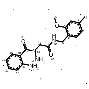 COc1cc(C)ccc1CNC(=O)CN(N)C(=O)c1ccccc1N